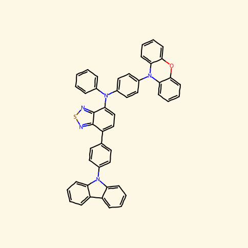 c1ccc(N(c2ccc(N3c4ccccc4Oc4ccccc43)cc2)c2ccc(-c3ccc(-n4c5ccccc5c5ccccc54)cc3)c3nsnc23)cc1